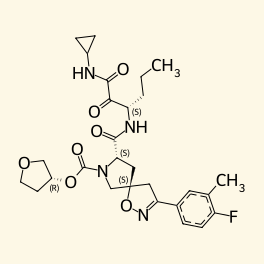 CCC[C@H](NC(=O)[C@@H]1C[C@]2(CC(c3ccc(F)c(C)c3)=NO2)CN1C(=O)O[C@@H]1CCOC1)C(=O)C(=O)NC1CC1